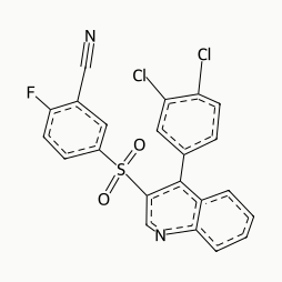 N#Cc1cc(S(=O)(=O)c2cnc3ccccc3c2-c2ccc(Cl)c(Cl)c2)ccc1F